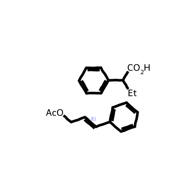 CC(=O)OC/C=C/c1ccccc1.CCC(C(=O)O)c1ccccc1